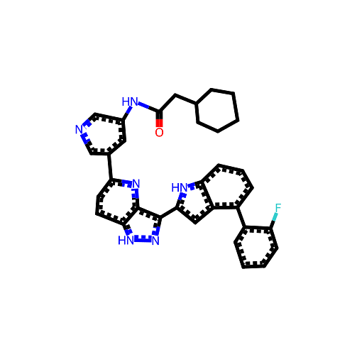 O=C(CC1CCCCC1)Nc1cncc(-c2ccc3[nH]nc(-c4cc5c(-c6ccccc6F)cccc5[nH]4)c3n2)c1